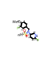 CCCS(=O)(=O)N(Cc1ccc(OC)c(F)c1)c1ccc(F)nc1